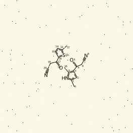 Cc1cc(C(=O)CC#N)c(C)[nH]1.Cc1ccc(C(=O)CC#N)s1